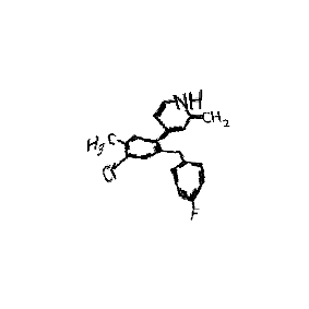 C=C1C=C(c2cc(C)c(Cl)cc2Cc2ccc(F)cc2)C=CN1